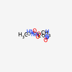 Cc1cc(N2NCCC2=O)ccc1CCS(=O)(=O)N1CCC2(CC1)N=C(C1CCC(C)CC1)NC2=O